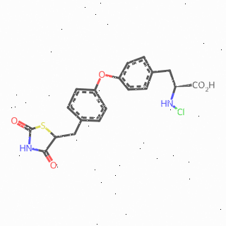 O=C1NC(=O)C(Cc2ccc(Oc3ccc(C[C@H](NCl)C(=O)O)cc3)cc2)S1